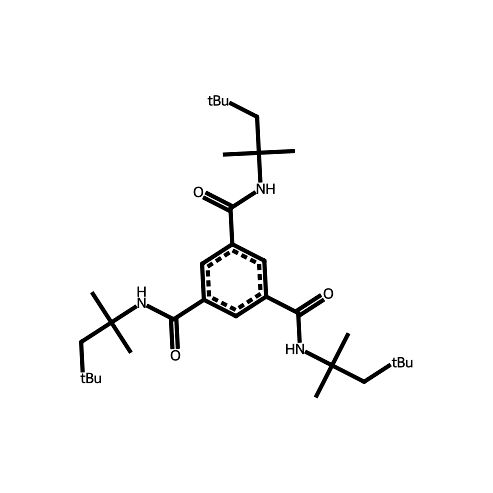 CC(C)(C)CC(C)(C)NC(=O)c1cc(C(=O)NC(C)(C)CC(C)(C)C)cc(C(=O)NC(C)(C)CC(C)(C)C)c1